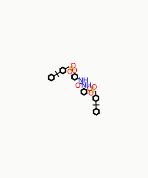 CC(C)(c1ccccc1)c1ccc(CS(=O)(=O)Oc2cccc(NC(=O)Nc3ccccc3OS(=O)(=O)Cc3ccc(C(C)(C)c4ccccc4)cc3)c2)cc1